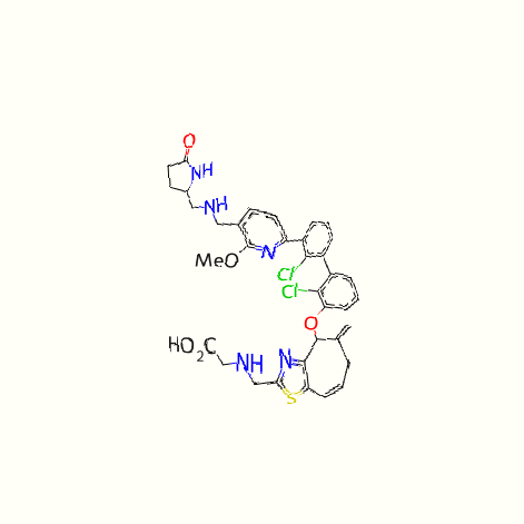 C=C1CC=Cc2sc(CNCC(=O)O)nc2C1Oc1cccc(-c2cccc(-c3ccc(CNCC4CCC(=O)N4)c(OC)n3)c2Cl)c1Cl